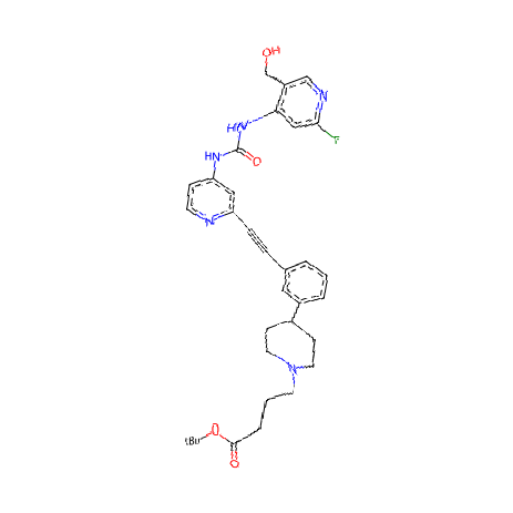 CC(C)(C)OC(=O)CCCN1CCC(c2cccc(C#Cc3cc(NC(=O)Nc4cc(F)ncc4CO)ccn3)c2)CC1